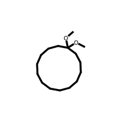 COC1(OC)CCCCCCCCCCCCC1